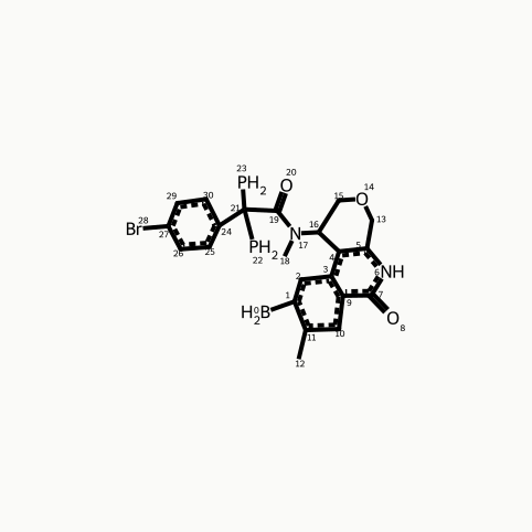 Bc1cc2c3c([nH]c(=O)c2cc1C)COCC3N(C)C(=O)C(P)(P)c1ccc(Br)cc1